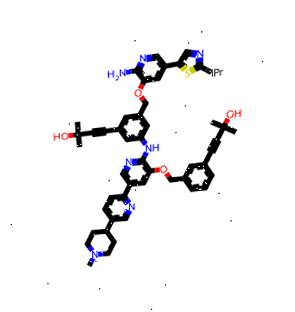 CC(C)c1ncc(-c2cnc(N)c(OCc3cc(C#CC(C)(C)O)cc(Nc4ncc(-c5ccc(C6CCN(C)CC6)cn5)cc4OCc4cccc(C#CC(C)(C)O)c4)c3)c2)s1